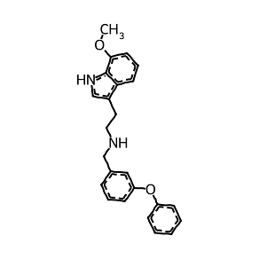 COc1cccc2c(CCNCc3cccc(Oc4ccccc4)c3)c[nH]c12